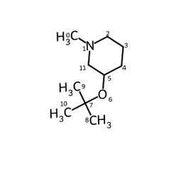 CN1CCCC(OC(C)(C)C)C1